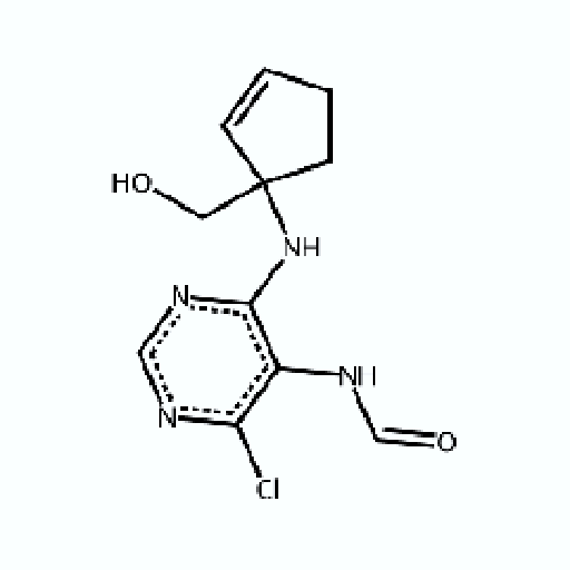 O=CNc1c(Cl)ncnc1NC1(CO)C=CCC1